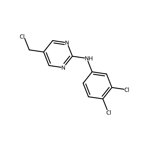 ClCc1cnc(Nc2ccc(Cl)c(Cl)c2)nc1